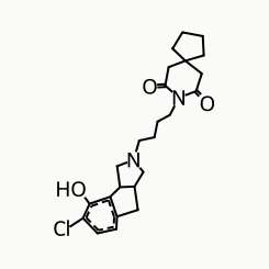 O=C1CC2(CCCC2)CC(=O)N1CCCCN1CC2Cc3ccc(Cl)c(O)c3C2C1